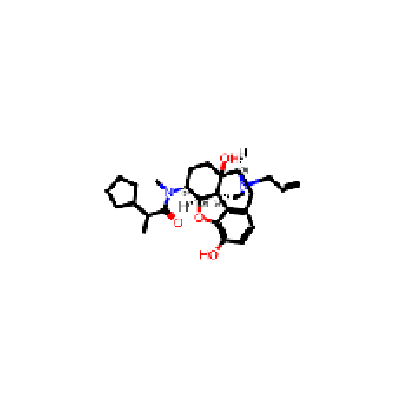 C=CCN1CC[C@]23c4c5ccc(O)c4O[C@H]2[C@@H](N(C)C(=O)C(C)C2CCCC2)CCC3(O)[C@H]1C5